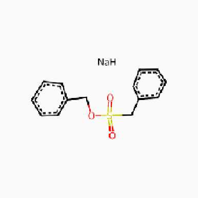 O=S(=O)(Cc1ccccc1)OCc1ccccc1.[NaH]